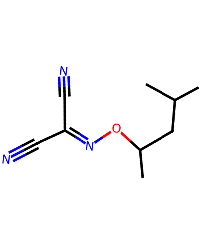 CC(C)CC(C)ON=C(C#N)C#N